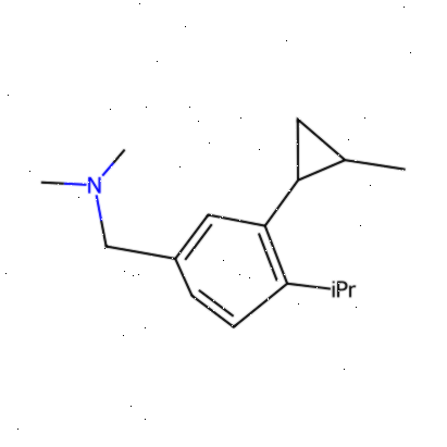 CC(C)c1ccc(CN(C)C)cc1C1CC1C